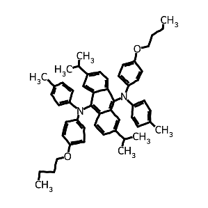 CCCCOc1ccc(N(c2ccc(C)cc2)c2c3ccc(C(C)C)cc3c(N(c3ccc(C)cc3)c3ccc(OCCCC)cc3)c3ccc(C(C)C)cc23)cc1